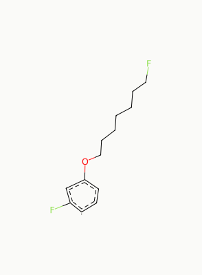 FCCCCCCCOc1cc[c]c(F)c1